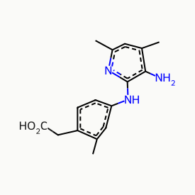 Cc1cc(C)c(N)c(Nc2ccc(CC(=O)O)c(C)c2)n1